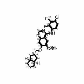 COc1cc2c(Nc3ccc(Cl)c(Cl)c3F)ncnc2cc1OC[C@@H]1C[C@H]2CNC[C@H]2C1.Cl